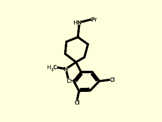 CC(C)NC1CCC(c2cc(Cl)cc(Cl)c2)(N(C)C)CC1